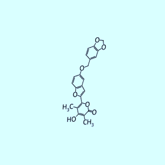 Cc1c(-c2cc3cc(OCc4ccc5c(c4)OCO5)ccc3o2)oc(=O)c(C)c1O